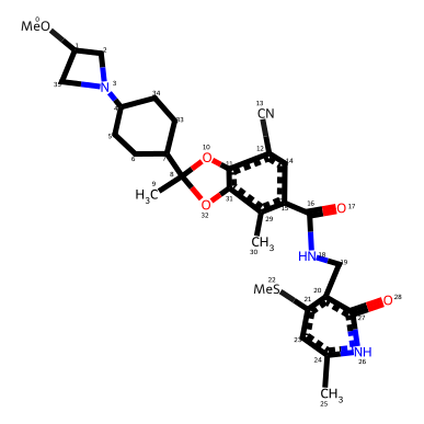 COC1CN(C2CCC(C3(C)Oc4c(C#N)cc(C(=O)NCc5c(SC)cc(C)[nH]c5=O)c(C)c4O3)CC2)C1